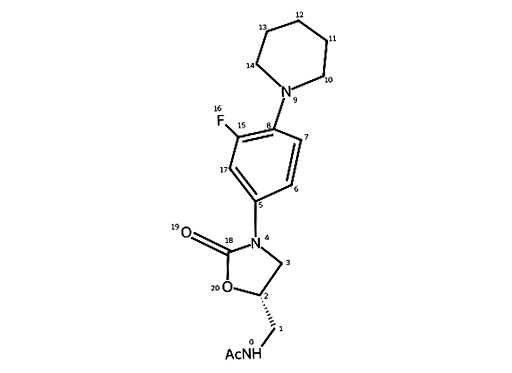 CC(=O)NC[C@H]1CN(c2ccc(N3CCCCC3)c(F)c2)C(=O)O1